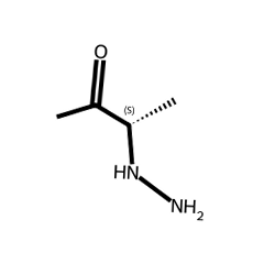 CC(=O)[C@H](C)NN